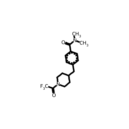 CN(C)C(=O)c1ccc(CC2CCN(C(=O)C(F)(F)F)CC2)cc1